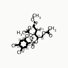 CON=C[C@@H](F)[C@H](OC(C)=O)[C@@H](COC(C)=O)OS(=O)(=O)c1cc(Cl)c(Cl)cc1Cl